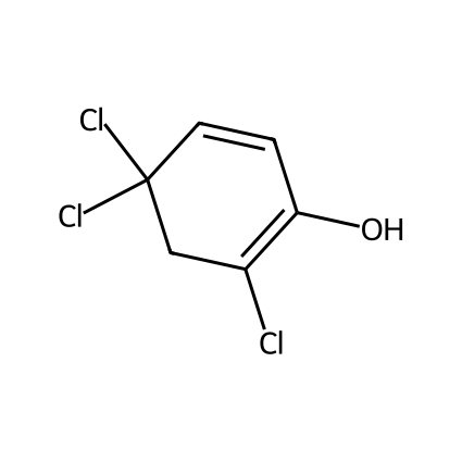 OC1=C(Cl)CC(Cl)(Cl)C=C1